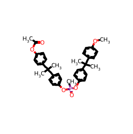 COc1ccc(C(C)(C)c2ccc(OP(C)(=O)Oc3ccc(C(C)(C)c4ccc(OC(C)=O)cc4)cc3)cc2)cc1